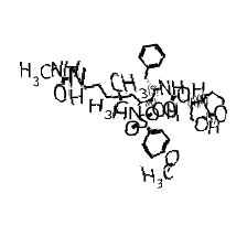 CNC(=O)NCCCC(C)(C)CC(NS(=O)(=O)c1ccc(OC)cc1)[C@H](O)[C@H](Cc1ccccc1)NC(=O)O[C@H]1CO[C@@H]2OCC[C@H]21